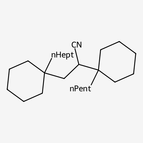 CCCCCCCC1(CC(C#N)C2(CCCCC)CCCCC2)CCCCC1